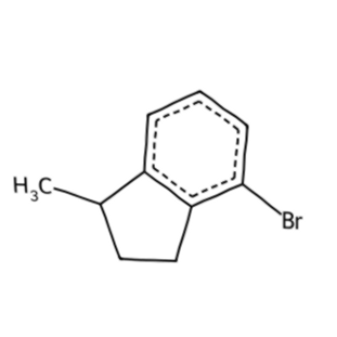 CC1CCc2c(Br)cccc21